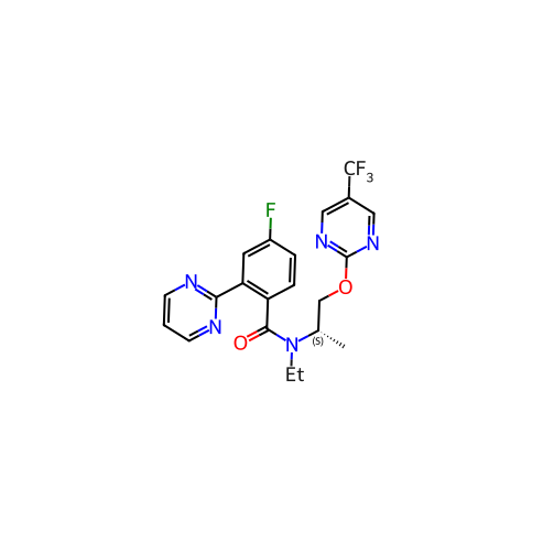 CCN(C(=O)c1ccc(F)cc1-c1ncccn1)[C@@H](C)COc1ncc(C(F)(F)F)cn1